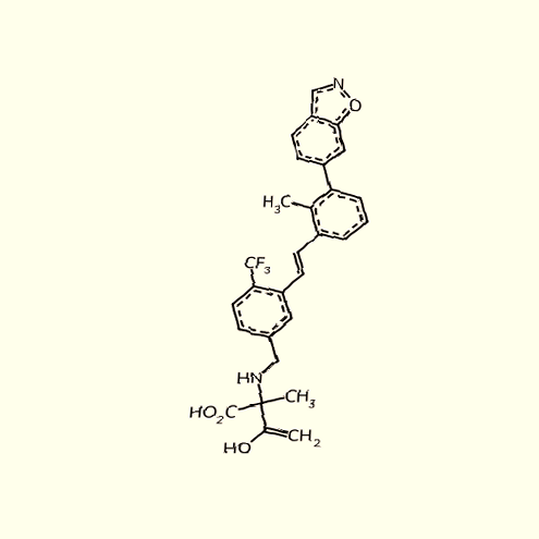 C=C(O)C(C)(NCc1ccc(C(F)(F)F)c(/C=C/c2cccc(-c3ccc4cnoc4c3)c2C)c1)C(=O)O